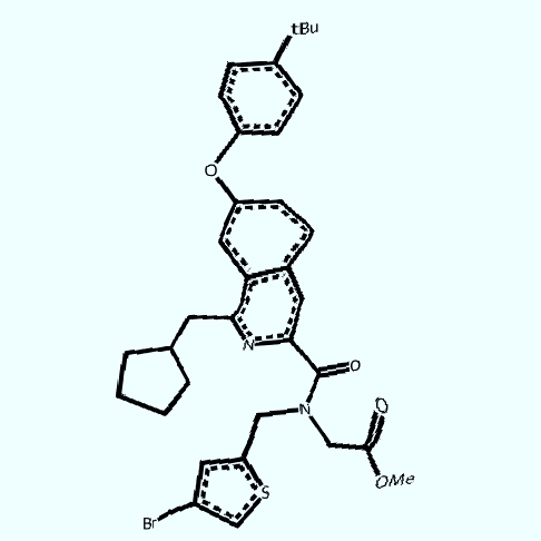 COC(=O)CN(Cc1cc(Br)cs1)C(=O)c1cc2ccc(Oc3ccc(C(C)(C)C)cc3)cc2c(CC2CCCC2)n1